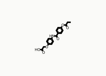 CCC(=O)Oc1ccc(C(=O)Nc2ccc(OCC(=O)O)cc2)cc1